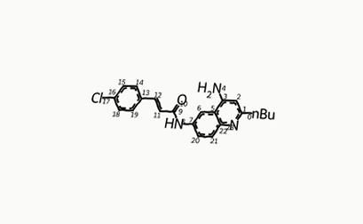 CCCCc1cc(N)c2cc(NC(=O)C=Cc3ccc(Cl)cc3)ccc2n1